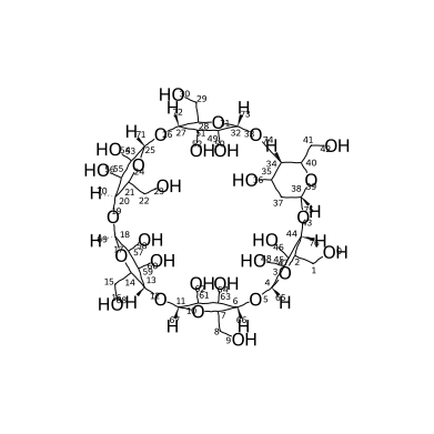 OCC1O[C@@H]2O[C@@H]3C(CO)O[C@H](O[C@@H]4C(CO)O[C@@H](O[C@@H]5C(CO)O[C@@H](O[C@@H]6C(CO)O[C@H](O[C@H]7C(O)C[C@H](OC7CO)O[C@H]1C(O)C2O)C(O)C6O)C(O)C5O)C(O)C4O)C(O)C3O